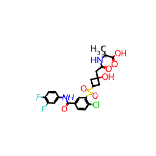 C[C@H](NC(=O)CC1(O)CC(S(=O)(=O)c2cc(C(=O)Nc3ccc(F)c(F)c3)ccc2Cl)C1)C(=O)O